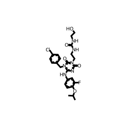 CC(C)Oc1ccc(Nc2nc(=O)n(CCNC(=O)NCCO)c(=O)n2Cc2ccc(Cl)cc2)cc1F